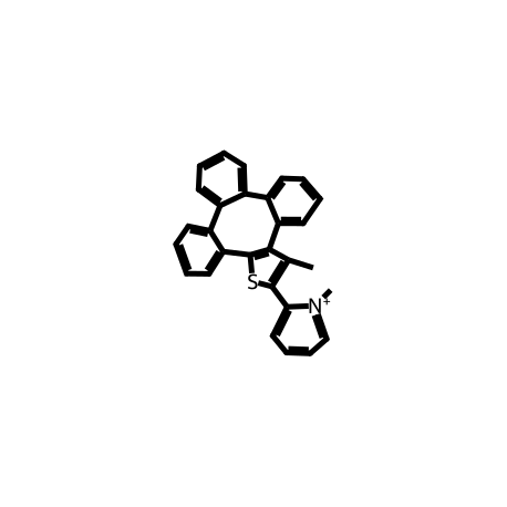 Cc1c(-c2cccc[n+]2C)sc2c1-c1ccccc1-c1ccccc1-c1ccccc1-2